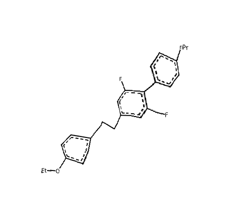 CCCc1ccc(-c2c(F)cc(CCc3ccc(OCC)cc3)cc2F)cc1